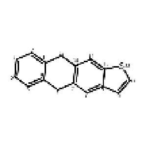 c1ccc2c(c1)Cc1cc3ccsc3cc1C2